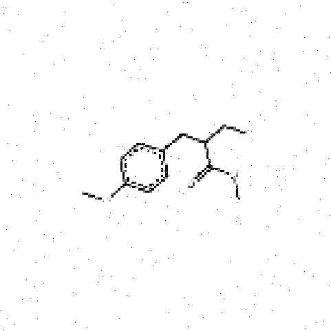 CCC(Cc1ccc(OC)cc1)C(=O)OC